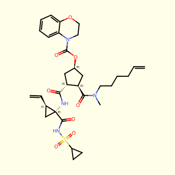 C=CCCCCN(C)C(=O)[C@@H]1C[C@H](OC(=O)N2CCOc3ccccc32)C[C@H]1C(=O)N[C@]1(C(=O)NS(=O)(=O)C2CC2)C[C@H]1C=C